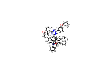 CC1(C)c2ccccc2-c2cc3c(cc21)c1cc(-c2ccc4oc5cccc(-c6nc(-c7ccc8c(c7)oc7ccccc78)nc(-c7ccc8c(c7)oc7ccccc78)n6)c5c4c2)ccc1n3-c1ccccc1